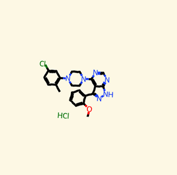 COc1ccccc1-c1n[nH]c2ncnc(N3CCN(c4cc(Cl)ccc4C)CC3)c12.Cl